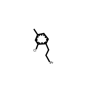 Cc1ccc(CCC(C)C)c(Cl)c1